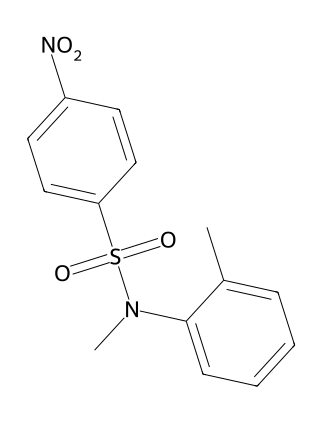 Cc1ccccc1N(C)S(=O)(=O)c1ccc([N+](=O)[O-])cc1